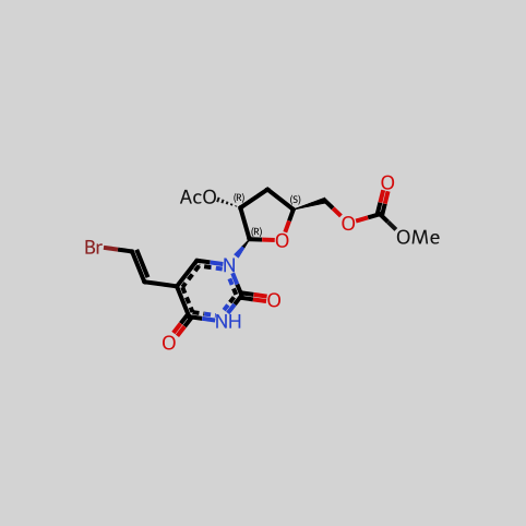 COC(=O)OC[C@@H]1C[C@@H](OC(C)=O)[C@H](n2cc(C=CBr)c(=O)[nH]c2=O)O1